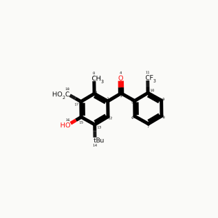 Cc1c(C(=O)c2ccccc2C(F)(F)F)cc(C(C)(C)C)c(O)c1C(=O)O